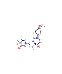 C[C@H](CCN1CCC2(CC2)[C@H](O)C1)N1CCN(c2ccc(OC(F)(F)F)cc2)CCC1=O